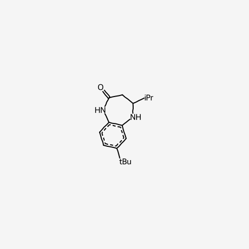 CC(C)C1CC(=O)Nc2ccc(C(C)(C)C)cc2N1